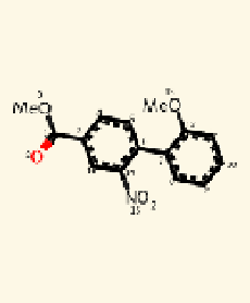 COC(=O)c1ccc(-c2ccccc2OC)c([N+](=O)[O-])c1